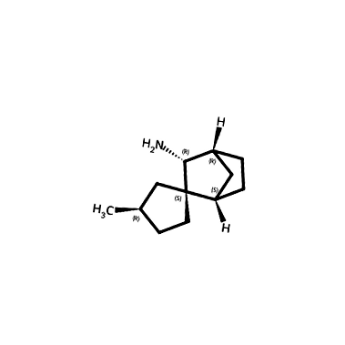 C[C@@H]1CC[C@]2(C1)[C@H]1CC[C@H](C1)[C@H]2N